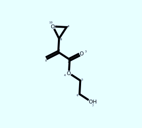 C=C(C(=O)OCCO)C1CO1